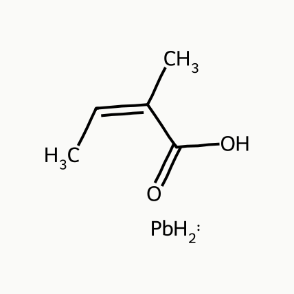 CC=C(C)C(=O)O.[PbH2]